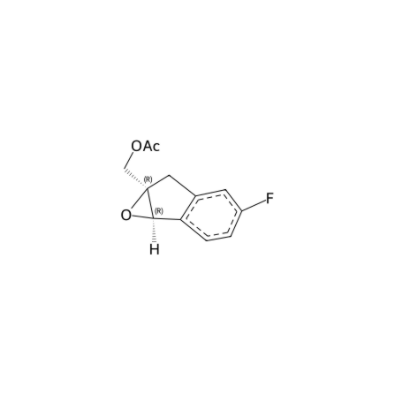 CC(=O)OC[C@]12Cc3cc(F)ccc3[C@H]1O2